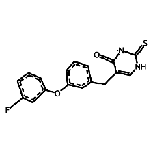 O=C1[N]C(=S)NC=C1Cc1cccc(Oc2cccc(F)c2)c1